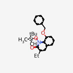 CCc1cc2cccc(OCc3ccccc3)c2n(O[Si](C)(C)C(C)(C)C)c1=O